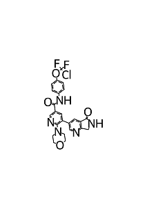 O=C(Nc1ccc(OC(F)(F)Cl)cc1)c1cnc(N2CCOCC2)c(-c2cnc3c(c2)C(=O)NC3)c1